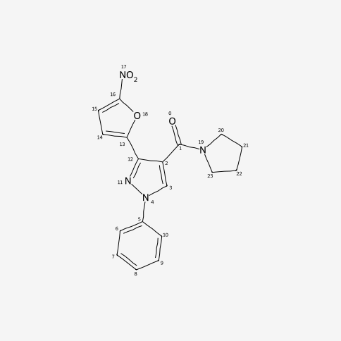 O=C(c1cn(-c2ccccc2)nc1-c1ccc([N+](=O)[O-])o1)N1CCCC1